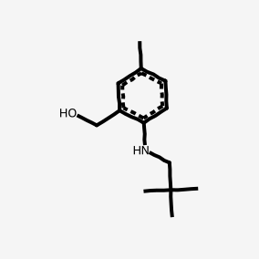 Cc1ccc(NCC(C)(C)C)c(CO)c1